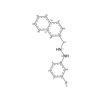 Fc1cccc(NNCc2ccc3ccccc3c2)c1